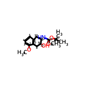 COc1cccc2c1C[C@@H](O)[C@H](NC(=O)OC(C)(C)C)C2